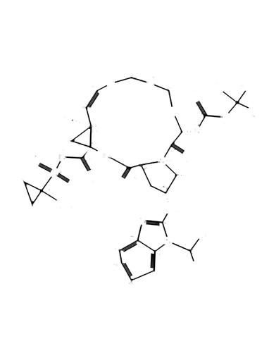 CC(C)n1c(O[C@@H]2C[C@H]3C(=O)N[C@]4(C(=O)NS(=O)(=O)C5(C)CC5)C[C@H]4/C=C\CCCCC[C@H](NC(=O)OC(C)(C)C)C(=O)N3C2)nc2ccccc21